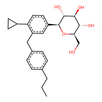 CCCc1ccc(Cc2cc([C@@H]3O[C@H](CO)[C@@H](O)[C@H](O)[C@H]3O)ccc2C2CC2)cc1